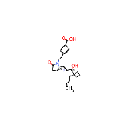 CCCCC1([C@@H](O)/C=C/[C@H]2CCC(=O)N2CCc2ccc(C(=O)O)cc2)CCC1